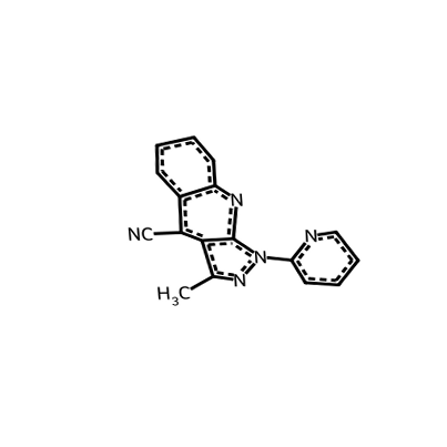 Cc1nn(-c2ccccn2)c2nc3ccccc3c(C#N)c12